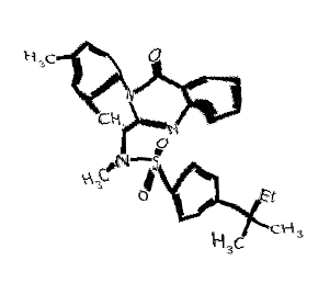 CCC(C)(C)c1ccc(S(=O)(=O)N(C)Cc2nc3ccccc3c(=O)n2-c2ccc(C)cc2C)cc1